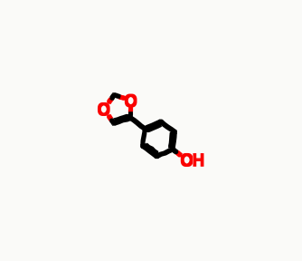 Oc1ccc(C2=COCO2)cc1